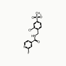 CS(=O)(=O)c1ccc(CNC(=O)c2ccnc(F)c2)c(Cl)c1